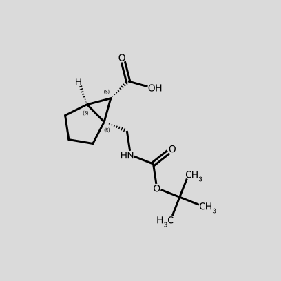 CC(C)(C)OC(=O)NC[C@]12CCC[C@H]1[C@@H]2C(=O)O